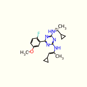 COc1ccc(F)c(-c2nc(NC(C)=CC3CC3)nc(N[C@H](C)C3CC3)n2)c1